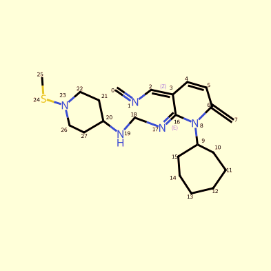 C=N/C=c1/ccc(=C)n(C2CCCCCC2)/c1=N/CNC1CCN(SC)CC1